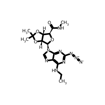 CCNc1nc(N=[N+]=[N-])nc2c1ncn2[C@@H]1O[C@H](C(=O)NC)[C@H]2OC(C)(C)O[C@H]21